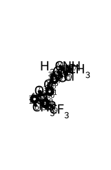 Cc1cccc(C(=O)Nc2cccc(OC3CCN(S(=O)(=O)C4C(C)NN(C)C4Cl)CC3)c2)c1-c1ccc(OC(F)(F)F)cc1